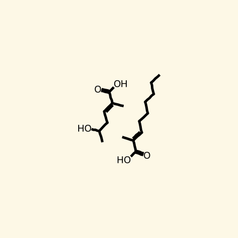 C/C(=C\CC(C)O)C(=O)O.CCCCCC/C=C(\C)C(=O)O